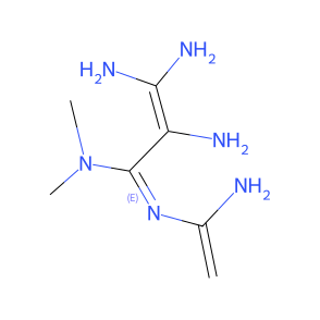 C=C(N)/N=C(\C(N)=C(N)N)N(C)C